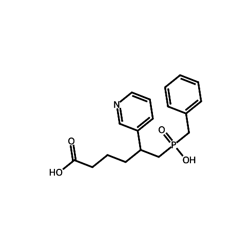 O=C(O)CCCC(CP(=O)(O)Cc1ccccc1)c1cccnc1